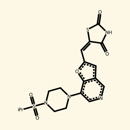 CC(C)S(=O)(=O)N1CCN(c2cncc3cc(C=C4SC(=O)NC4=O)oc23)CC1